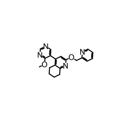 COc1ncncc1-c1cc(OCc2ccccn2)nc2c1CCCC2